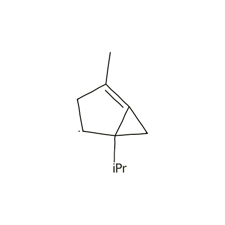 CC1=C2CC2(C(C)C)[CH]C1